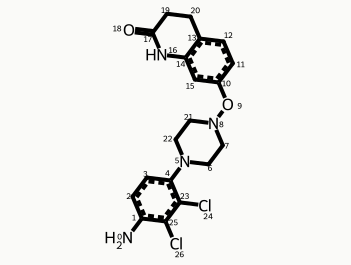 Nc1ccc(N2CCN(Oc3ccc4c(c3)NC(=O)CC4)CC2)c(Cl)c1Cl